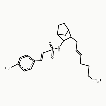 Cc1ccc(/C=C/S(=O)(=O)NC2C3CCC(C3)C2C/C=C/CCCC(=O)O)cc1